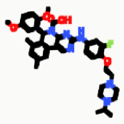 COc1ccc(OC)c(C(c2c(C)cc(C)cc2C)N(C(=O)O)c2ccnc(Nc3ccc(OCCN4CCN(C(C)C)CC4)c(F)c3)n2)c1